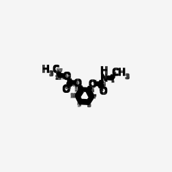 CCNC(=O)Oc1ccccc1OC(=O)OCC